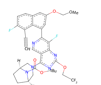 C#Cc1c(F)ccc2cc(OCOC)cc(-c3ncc4c(N5C[C@H]6CC[C@@H](C5)N6C(=O)OC(C)(C)C)nc(OCC(F)(F)F)nc4c3F)c12